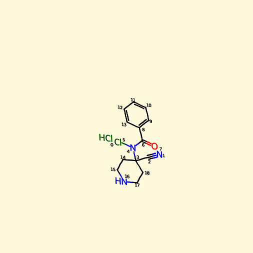 Cl.N#CC1(N(Cl)C(=O)c2ccccc2)CCNCC1